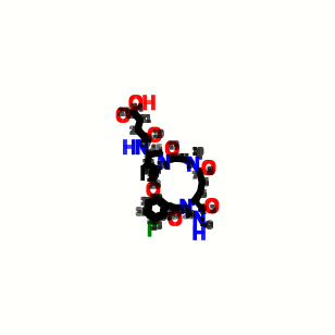 CNC(=O)[C@@H]1CCC(=O)N(C)CC(=O)N2C[C@@H](NC(=O)CCC(=O)O)C[C@H]2COc2ccc(F)cc2C(=O)N1C